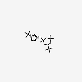 CC1(C)CC(C(C)(C)C)CC(C)(C[n+]2ccn(C(C)(C)C)c2)C1